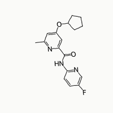 Cc1cc(OC2CCCC2)cc(C(=O)Nc2ccc(F)cn2)n1